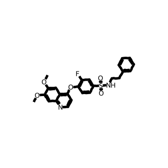 COc1cc2nccc(Oc3ccc(S(=O)(=O)NCCc4ccccc4)cc3F)c2cc1OC